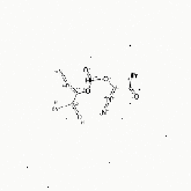 CC(C)C(=O)C(=[N+]=[N-])O[PH](=O)OC(=[N+]=[N-])C(=O)C(C)C